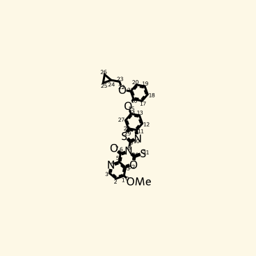 COc1ccnc2c(=O)n(-c3nc4ccc(Oc5ccccc5OCC5CC5)cc4s3)c(=S)oc12